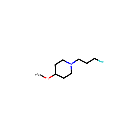 CC(C)(C)OC1CCN(CCCF)CC1